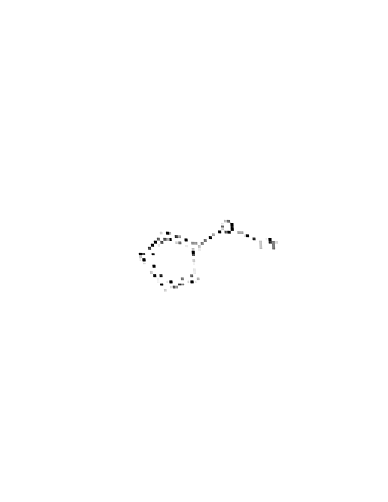 CC(C)Oc1[c]scc1